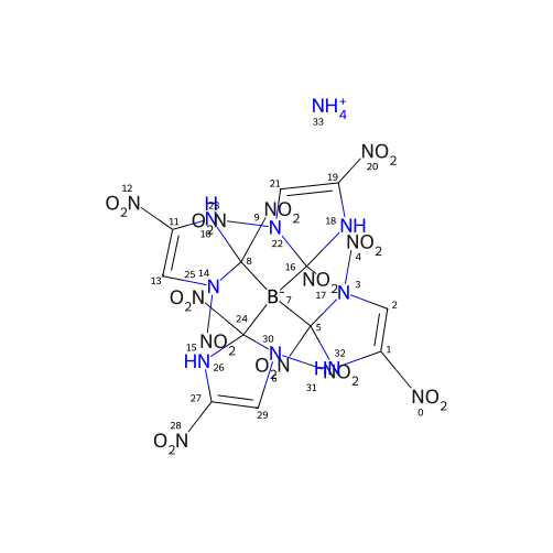 O=[N+]([O-])C1=CN([N+](=O)[O-])C([N+](=O)[O-])([B-](C2([N+](=O)[O-])NC([N+](=O)[O-])=CN2[N+](=O)[O-])(C2([N+](=O)[O-])NC([N+](=O)[O-])=CN2[N+](=O)[O-])C2([N+](=O)[O-])NC([N+](=O)[O-])=CN2[N+](=O)[O-])N1.[NH4+]